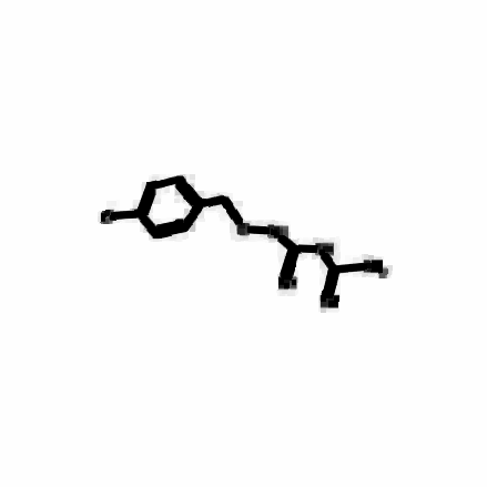 N=C(N)NC(=N)NOCc1ccc(Cl)cc1